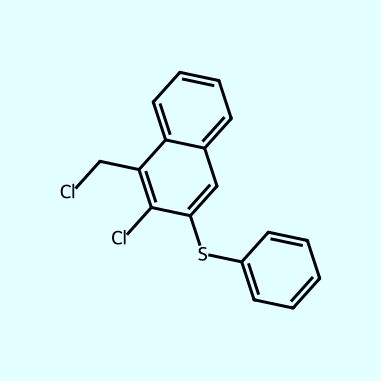 ClCc1c(Cl)c(Sc2ccccc2)cc2ccccc12